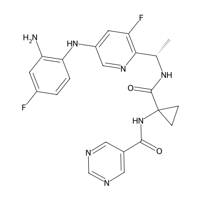 C[C@H](NC(=O)C1(NC(=O)c2cncnc2)CC1)c1ncc(Nc2ccc(F)cc2N)cc1F